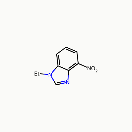 CCn1cnc2c([N+](=O)[O-])cccc21